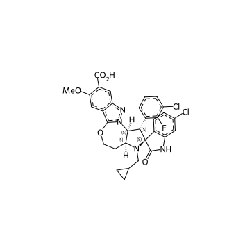 COc1cc2c3n(nc2cc1C(=O)O)[C@@H]1[C@H](CCO3)N(CC2CC2)[C@@]2(C(=O)Nc3cc(Cl)ccc32)[C@H]1c1cccc(Cl)c1F